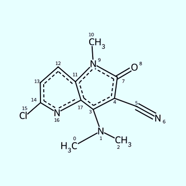 CN(C)c1c(C#N)c(=O)n(C)c2ccc(Cl)nc12